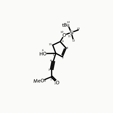 COC(=O)C#CC1(O)C=CC(O[Si](C)(C)C(C)(C)C)C1